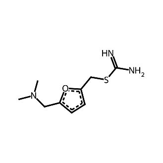 CN(C)Cc1ccc(CSC(=N)N)o1